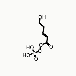 O=C(C=CCCO)OOP(=O)(O)O